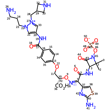 CC1(C)C(NC(=O)/C(=N\O[C@@H](COc2ccc(C(=O)Nc3cn(CCCN)[n+](CC4CNC4)c3)cc2)C(=O)O)c2csc(N)n2)C(=O)N1OS(=O)(=O)[O-]